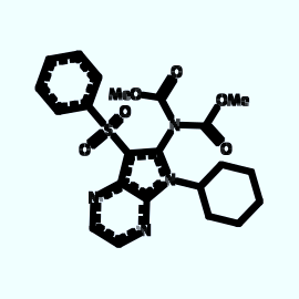 COC(=O)N(C(=O)OC)c1c(S(=O)(=O)c2ccccc2)c2nccnc2n1C1CCCCC1